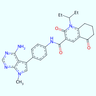 CCC(CC)n1c2c(cc(C(=O)Nc3ccc(-c4cn(C)c5ncnc(N)c45)cc3)c1=O)C(=O)CCC2